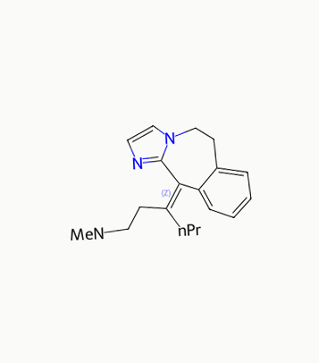 CCC/C(CCNC)=C1\c2ccccc2CCn2ccnc21